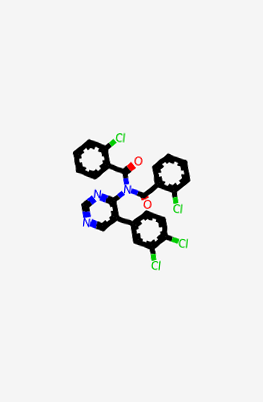 O=C(c1ccccc1Cl)N(C(=O)c1ccccc1Cl)c1ncncc1-c1ccc(Cl)c(Cl)c1